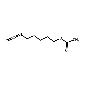 CC(=O)OCCCCCN=C=S